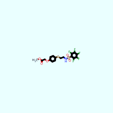 COC(=O)COc1ccc(SCCNS(=O)(=O)c2c(F)c(F)c(F)c(F)c2F)cc1